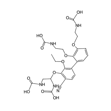 CCOc1c(-c2cccc(OCCNC(=O)O)c2OCCNC(=O)O)ccc(C#N)c1OC(CNC(=O)O)NC(=O)O